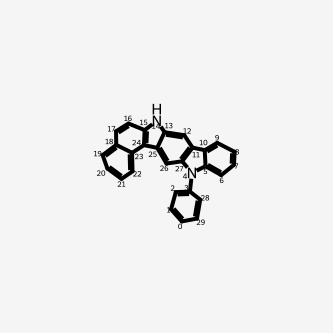 c1ccc(-n2c3ccccc3c3cc4[nH]c5ccc6ccccc6c5c4cc32)cc1